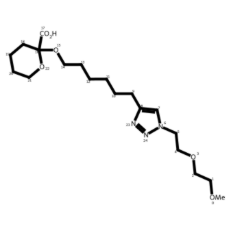 COCCOCCn1cc(CCCCCCOC2(C(=O)O)CCCCO2)nn1